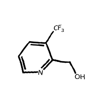 OCc1ncccc1C(F)(F)F